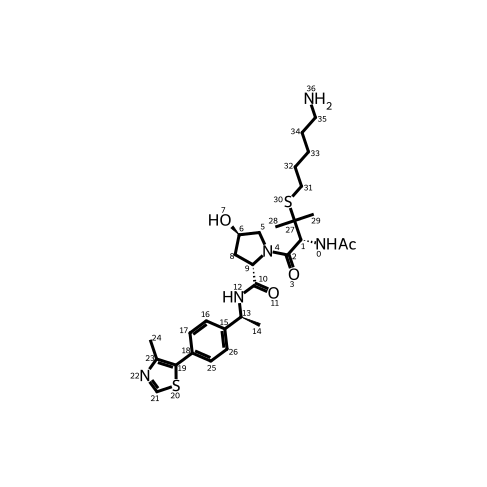 CC(=O)N[C@H](C(=O)N1C[C@H](O)C[C@H]1C(=O)N[C@@H](C)c1ccc(-c2scnc2C)cc1)C(C)(C)SCCCCCN